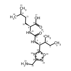 CCC(C)[C@H](NC(=O)N[C@@H](CCC(C)C)C(=O)O)c1nc(CN)no1